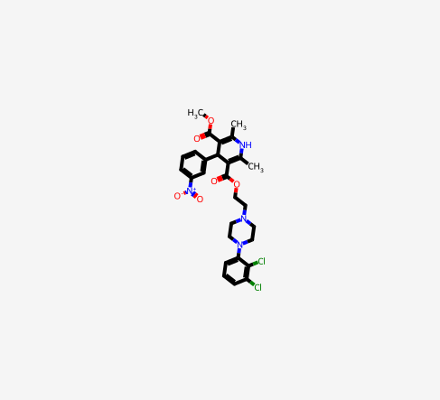 COC(=O)C1=C(C)NC(C)=C(C(=O)OCCN2CCN(c3cccc(Cl)c3Cl)CC2)C1c1cccc([N+](=O)[O-])c1